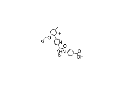 CC1=C(F)C(c2ccc(C(CC3CC3)C(=O)Nc3ccc(C(=O)O)cc3)nc2)=C(OCC2CC2)CC1